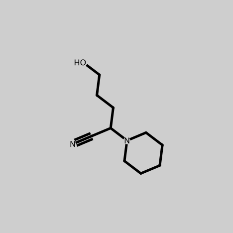 N#CC(CCCO)N1CCCCC1